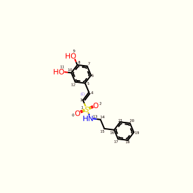 O=S(=O)(/C=C/c1ccc(O)c(O)c1)NCCc1ccccc1